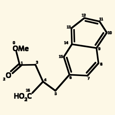 COC(=O)CC(Cc1ccc2ccccc2c1)C(=O)O